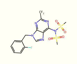 CS(=O)(=O)N(c1nc(C(F)(F)F)nc2c1ncn2Cc1ccccc1F)S(C)(=O)=O